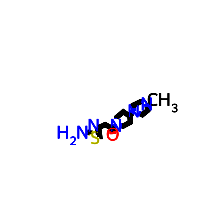 CN1CCN(C2CCN(C(=O)Cc3csc(N)n3)CC2)CC1